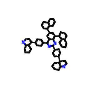 c1ccc2c(-c3cc(-c4cccc5ccccc45)c4nc(-c5ccc(-c6ccnc7ccccc67)cc5)nc(-c5ccc(-c6ccnc7ccccc67)cc5)c4c3)cccc2c1